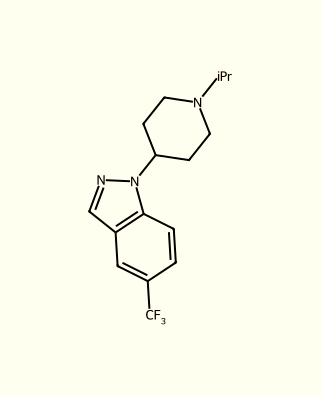 CC(C)N1CCC(n2ncc3cc(C(F)(F)F)ccc32)CC1